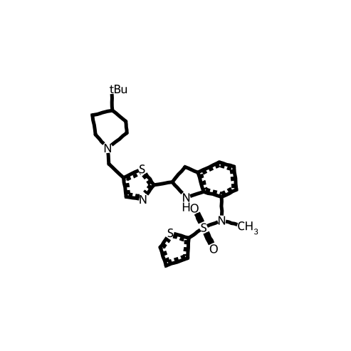 CN(c1cccc2c1NC(c1ncc(CN3CCC(C(C)(C)C)CC3)s1)C2)S(=O)(=O)c1cccs1